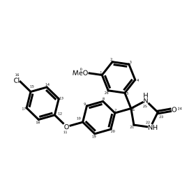 COc1cccc(C2(c3ccc(Oc4ccc(Cl)cc4)cc3)CNC(=O)N2)c1